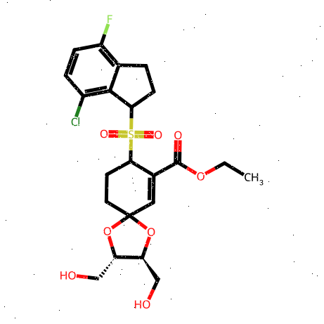 CCOC(=O)C1=CC2(CCC1S(=O)(=O)C1CCc3c(F)ccc(Cl)c31)O[C@@H](CO)[C@H](CO)O2